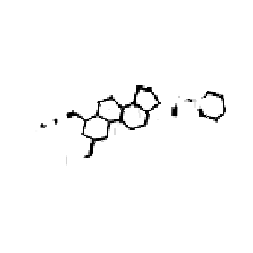 C[C@]12CC[C@H]3[C@@H](CCC4C(C=C=C=O)CC(=CO)C[C@@]43C)[C@@H]1CC[C@@H]2C(=O)NN1CCCCC1